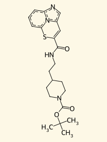 CC(C)(C)OC(=O)N1CCC(CCNC(=O)C2=Cc3cnc4cccc(n34)S2)CC1